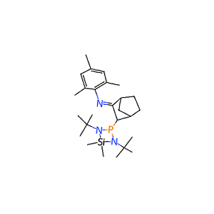 Cc1cc(C)c(/N=C2\C3CCC(C3)C2P2N(C(C)(C)C)[Si](C)(C)N2C(C)(C)C)c(C)c1